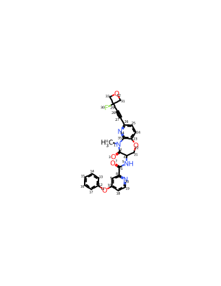 CN1C(=O)C(NC(=O)c2cc(Oc3ccccc3)ccn2)COc2ccc(C#CC3(F)COC3)nc21